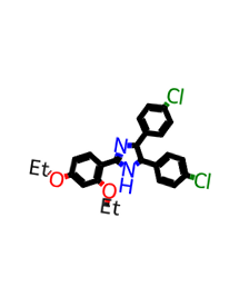 CCOc1ccc(C2=NC(c3ccc(Cl)cc3)C(c3ccc(Cl)cc3)N2)c(OCC)c1